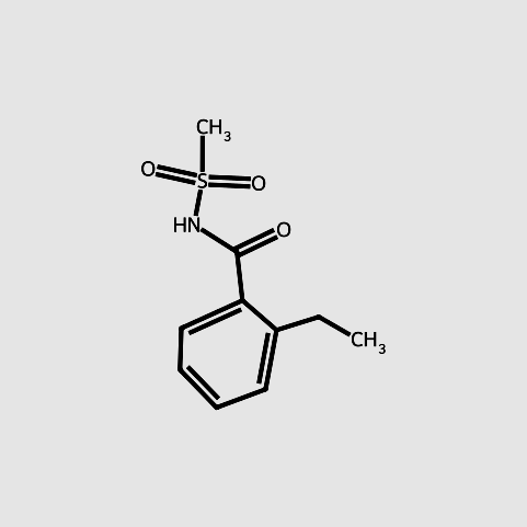 CCc1ccccc1C(=O)NS(C)(=O)=O